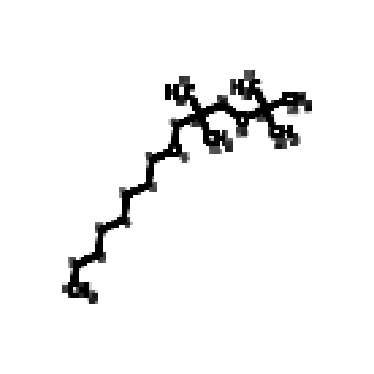 CCCCCCCCOCC(C)(C)COC(C)(C)C